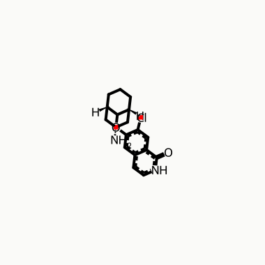 N[C@H]1C[C@H]2CCC[C@@H](C1)C2Oc1cc2cc[nH]c(=O)c2cc1Cl